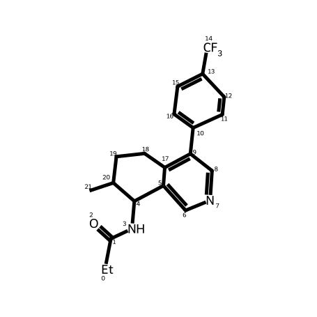 CCC(=O)NC1c2cncc(-c3ccc(C(F)(F)F)cc3)c2CCC1C